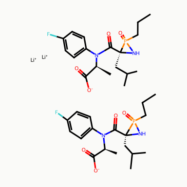 CCCP1(=O)N[C@@]1(CC(C)C)C(=O)N(c1ccc(F)cc1)[C@@H](C)C(=O)[O-].CCCP1(=O)N[C@@]1(CC(C)C)C(=O)N(c1ccc(F)cc1)[C@@H](C)C(=O)[O-].[Li+].[Li+]